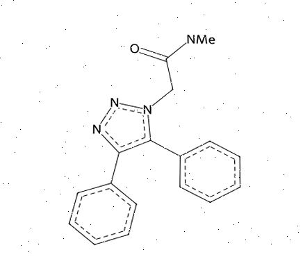 CNC(=O)Cn1nnc(-c2ccccc2)c1-c1ccccc1